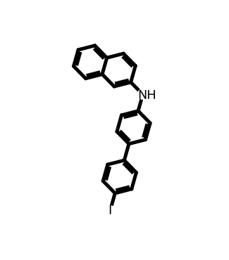 Ic1ccc(-c2ccc(Nc3ccc4ccccc4c3)cc2)cc1